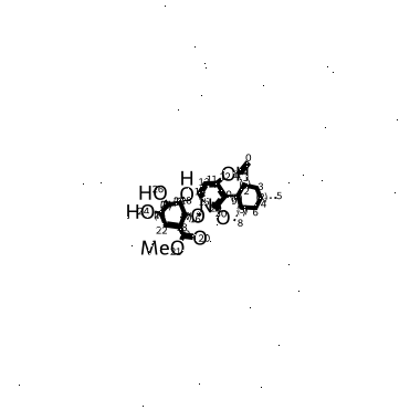 C=C[C@@H]1C[C@H](C)C[C@H](C)[C@H]1c1c(O)ccn(O[C@@H]2C(C(=O)OC)=C[C@@H](O)[C@@H](O)[C@H]2O)c1=O